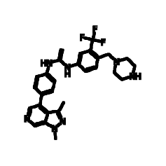 C=C(Nc1ccc(-c2cncc3c2c(C)nn3C)cc1)Nc1ccc(CN2CCNCC2)c(C(F)(F)F)c1